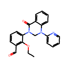 CCOc1c(C=O)cccc1N1CN(c2ccccn2)c2ccccc2C1=O